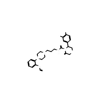 O=CNc1ccccc1N1CCN(CCCNC(=O)N2C(=O)COCC2c2ccc(F)c(F)c2)CC1